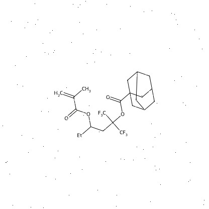 C=C(C)C(=O)OC(CC)CC(OC(=O)C12CC3CC(CC(C3)C1)C2)(C(F)(F)F)C(F)(F)F